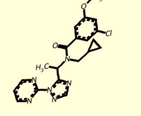 CC(c1ncnn1-c1ncccn1)N(CC1CC1)C(=O)c1cc(Cl)cc(OC(F)(F)F)c1